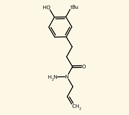 C=CCN(N)C(=O)CCc1ccc(O)c(C(C)(C)C)c1